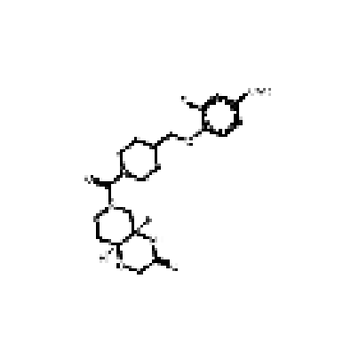 COc1ccc(OCC2CCN(C(=O)N3CC[C@@H]4OCC(=O)N[C@@H]4C3)CC2)c(F)c1